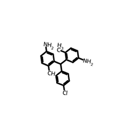 Cc1ccc(N)cc1C(c1ccc(Cl)cc1)c1cc(N)ccc1C